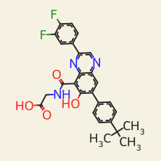 CC(C)(C)c1ccc(-c2cc3ncc(-c4ccc(F)c(F)c4)nc3c(C(=O)NCC(=O)O)c2O)cc1